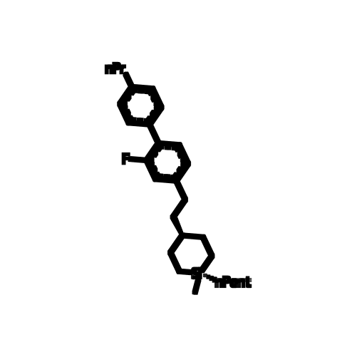 CCCCC[Si@]1(C)CC[C@@H](CCc2ccc(-c3ccc(CCC)cc3)c(F)c2)CC1